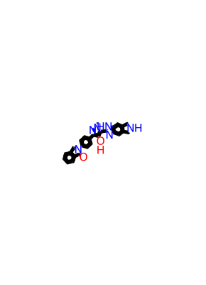 Cn1nc(-c2ccc(N3Cc4ccccc4C3=O)cc2)c(O)c1-c1nc2cc3c(cc2[nH]1)CNC3